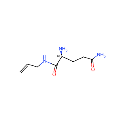 C=CCNC(=O)[C@@H](N)CCC(N)=O